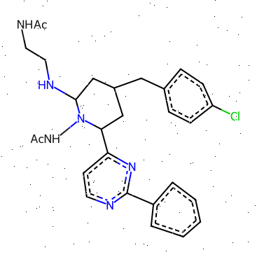 CC(=O)NCCNC1CC(Cc2ccc(Cl)cc2)CC(c2ccnc(-c3ccccc3)n2)N1NC(C)=O